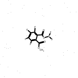 COC(=O)c1c(F)c(F)c(F)c(F)c1C(=O)OB(F)F